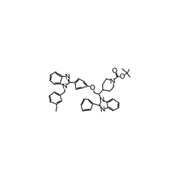 Cc1cccc(Cn2c(-c3ccc(OCC(C4CCN(C(=O)OC(C)(C)C)CC4)n4c(-c5ccccc5)nc5ccccc54)cc3)nc3ccccc32)c1